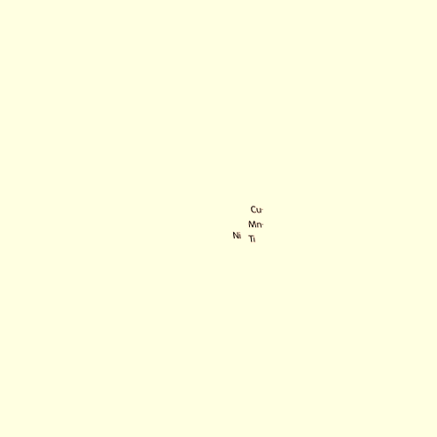 [Cu].[Mn].[Ni].[Ti]